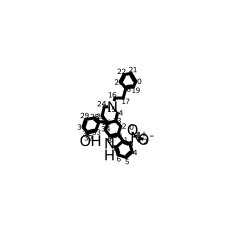 O=[N+]([O-])c1cccc2[nH]c3c(c12)CC1CN(CCc2ccccc2)CCC1(c1cccc(O)c1)C3